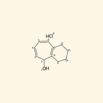 Cl.OC1C=CC=CC2=C1CCCC2